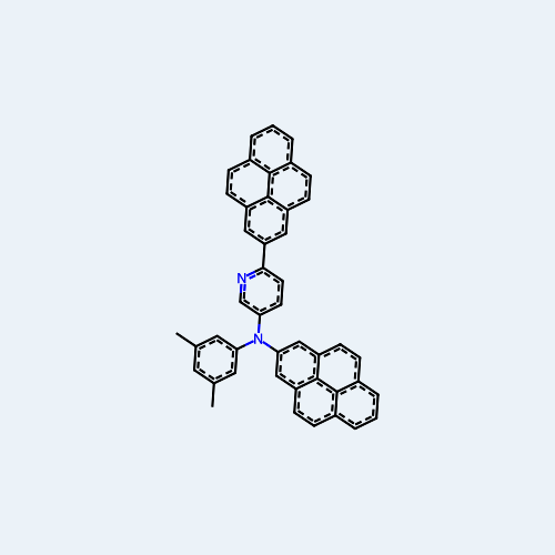 Cc1cc(C)cc(N(c2ccc(-c3cc4ccc5cccc6ccc(c3)c4c56)nc2)c2cc3ccc4cccc5ccc(c2)c3c45)c1